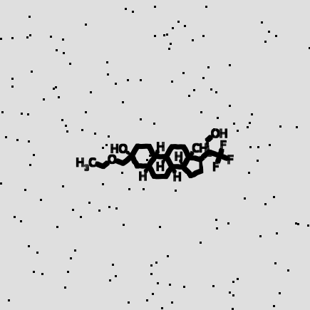 CCOC[C@@]1(O)CC[C@H]2[C@H](CC[C@@H]3[C@@H]2CC[C@]2(C)[C@@H]([C@H](CO)C(F)(F)F)CC[C@@H]32)C1